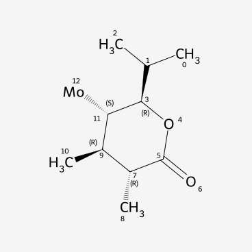 CC(C)[C@H]1OC(=O)[C@H](C)[C@@H](C)[C@@H]1[Mo]